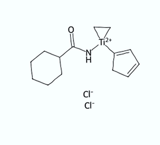 O=C([NH][Ti+2]1([C]2=CC=CC2)[CH2][CH2]1)C1CCCCC1.[Cl-].[Cl-]